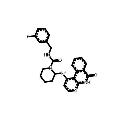 O=C(NCc1cccc(F)c1)N1CCCCC1Nc1ccnc2[nH]c(=O)c3ccccc3c12